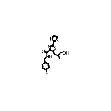 CC(CO)Cc1sc(-c2nccs2)nc1C(=O)NCc1ccc(F)cc1